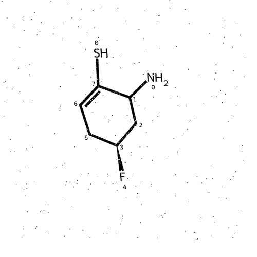 NC1C[C@@H](F)CC=C1S